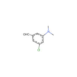 CN(C)c1cc(Cl)cc(C=O)c1